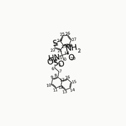 CC(NS(=O)(=O)CCc1cccc2ccccc12)(C(N)=O)c1csc2ccccc12